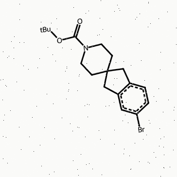 CC(C)(C)OC(=O)N1CCC2(CC1)Cc1ccc(Br)cc1C2